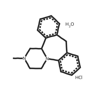 CN1CCN2c3ccccc3Cc3ccccc3C2C1.Cl.O